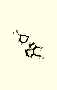 Nc1nccn2c1c(Br)nc2[C@H]1CC[C@H](O)CC1